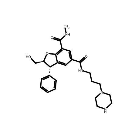 CNC(=O)c1cc(C(=O)NCCCN2CCNCC2)cc2c1O[C@H](CO)[C@H]2c1ccccc1